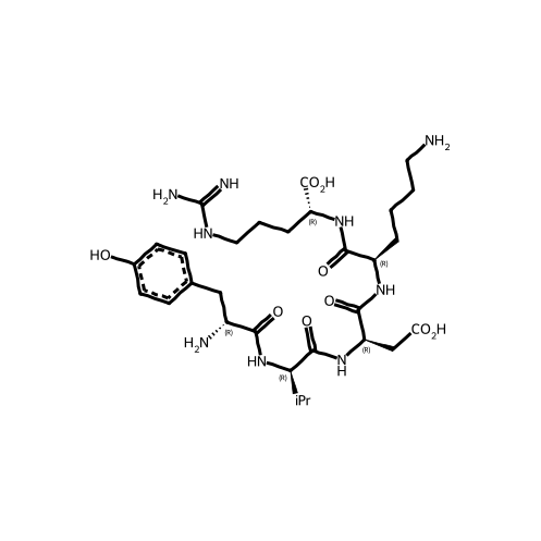 CC(C)[C@@H](NC(=O)[C@H](N)Cc1ccc(O)cc1)C(=O)N[C@H](CC(=O)O)C(=O)N[C@H](CCCCN)C(=O)N[C@H](CCCNC(=N)N)C(=O)O